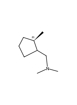 C[C@@H]1CCCC1CN(C)C